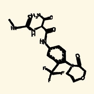 CNC(=O)N[C@@H](C(N)=O)C(=O)Nc1ccc(N2CCOCC2=O)c(C(F)(F)F)c1